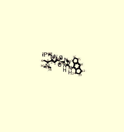 CC(c1cc(S(=O)(=O)c2nnc(Nc3c4c(cc5c3CCC5)CCC4)[nH]2)nn1C(C)C)N(C)C